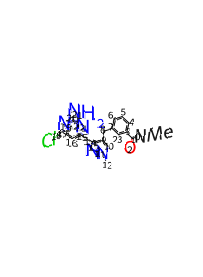 CNC(=O)c1cccc(Cc2cn(C)nc2-c2cc(Cl)nc(N)n2)c1